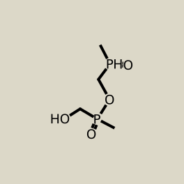 C[PH](=O)COP(C)(=O)CO